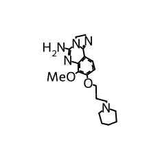 COc1c(OCCCN2CCCCC2)ccc2c1N=C(N)N1CCN=C21